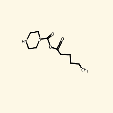 CCCCCC(=O)OC(=O)N1CCNCC1